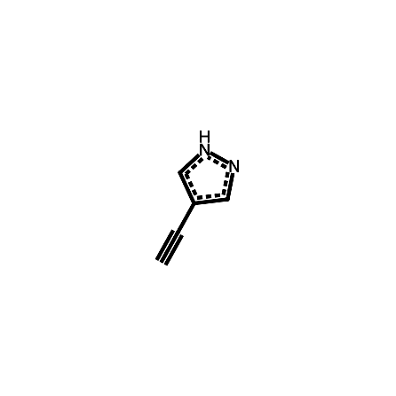 C#Cc1cn[nH]c1